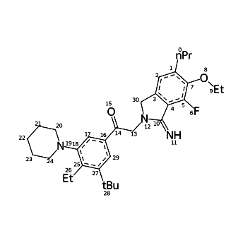 CCCc1cc2c(c(F)c1OCC)C(=N)N(CC(=O)c1cc(N3CCCCC3)c(CC)c(C(C)(C)C)c1)C2